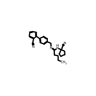 CCCCC(=NCc1ccc(-c2ccccc2C#N)cc1)NC1(C#N)CCCC1